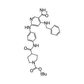 CC(C)(C)OC(=O)N1CCC(C(=O)Nc2ccc(Nc3cc(NCc4ccccc4)c(C(N)=O)cn3)cc2)CC1